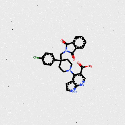 O=C(O)c1cnc2[nH]ccc2c1N1CCC(CN2C(=O)c3ccccc3C2=O)(c2ccc(Cl)cc2)CC1